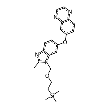 Cc1nc2ccc(Oc3ccc4nccnc4c3)cc2n1COCC[Si](C)(C)C